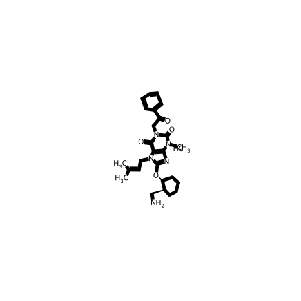 CC(C)=CCn1c(O[C@@H]2CCCC[C@H]2CN)nc2c1c(=O)n(CC(=O)c1ccccc1)c(=O)n2C.Cl